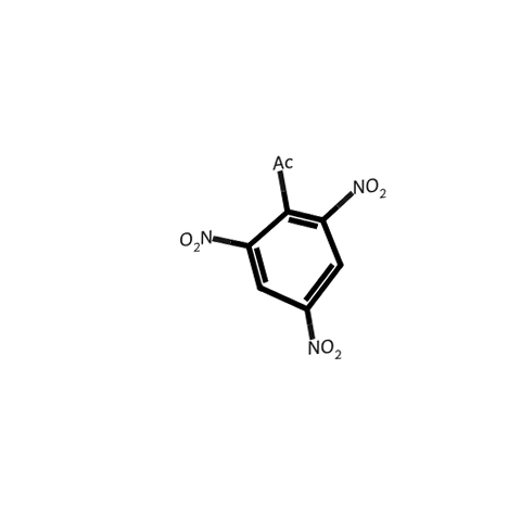 CC(=O)c1c([N+](=O)[O-])cc([N+](=O)[O-])cc1[N+](=O)[O-]